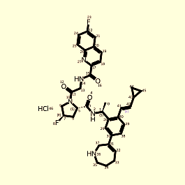 C[C@H](NC(=O)[C@@H]1C[C@@H](F)CN1C(=O)CNC(=O)c1ccc2cc(F)ccc2n1)c1cc(C2=CCCCNC2)ccc1/C=C/C1CC1.Cl